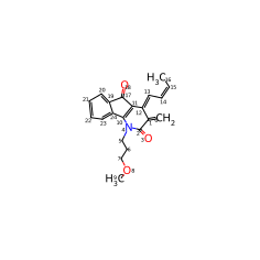 C=c1c(=O)n(CCCOC)c2c(/c1=C/C=C\C)C(=O)c1ccccc1-2